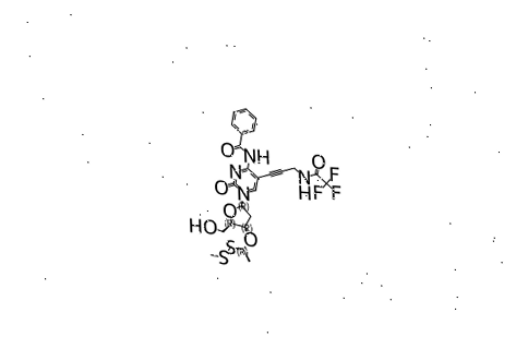 CSS[C@H](C)O[C@@H]1C[C@H](n2cc(C#CCNC(=O)C(F)(F)F)c(NC(=O)c3ccccc3)nc2=O)O[C@@H]1CO